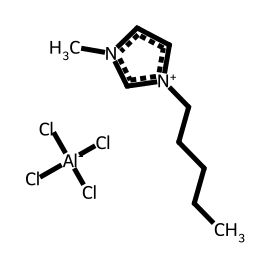 CCCCC[n+]1ccn(C)c1.[Cl][Al-]([Cl])([Cl])[Cl]